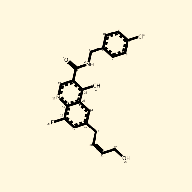 O=C(NCc1ccc(Cl)cc1)c1cnc2c(F)cc(C/C=C\CO)cc2c1O